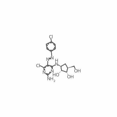 Nc1nc(Cl)c(N=Nc2ccc(Cl)cc2)c(N[C@H]2C[C@@H](CO)[C@H](O)[C@@H]2O)n1